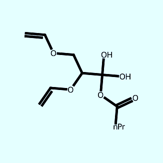 C=COCC(OC=C)C(O)(O)OC(=O)CCC